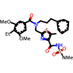 CCc1c(OC)cc(C(=O)N(CCCc2ccccc2)Cc2nc(C(=O)NS(=O)(=O)NC)c(C)s2)cc1OC